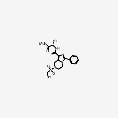 CNC(=O)[C@@H](NC(=O)c1nc(-c2ccccc2)n2c1CN(S(=O)(=O)CC(C)C)CC2)C(C)(C)C